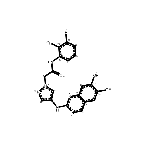 O=C(Cn1cc(Nc2ncc3cc(F)c(O)cc3n2)cn1)Nc1cccc(F)c1F